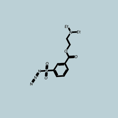 CCN(CC)CCOC(=O)c1cccc(S(=O)(=O)N=[N+]=[N-])c1